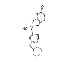 O=c1ccn2c(n1)O[C@H](C(O)c1ccc3c(c1)OC1CCCCC31)C2